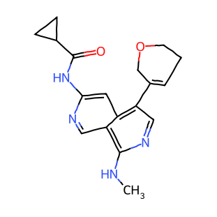 CNc1ncc(C2=CCCOC2)c2cc(NC(=O)C3CC3)ncc12